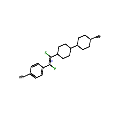 CCCc1ccc(/C(F)=C(\F)C2CCC(C3CCC(CCC)CC3)CC2)cc1